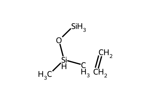 C=C.C[SiH](C)O[SiH3]